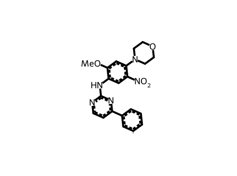 COc1cc(N2CCOCC2)c([N+](=O)[O-])cc1Nc1nccc(-c2c[c]ccc2)n1